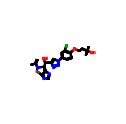 C=C(C)n1sc2ncnc-2c1C(O)c1cn(-c2ccc(OCCC(C)(C)O)c(Cl)c2)nn1